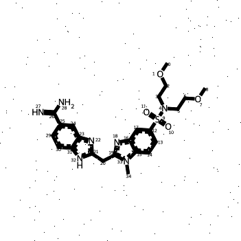 COCCN(CCOC)S(=O)(=O)c1ccc2c(c1)nc(Cc1nc3cc(C(=N)N)ccc3[nH]1)n2C